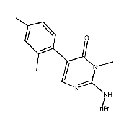 CCCNc1ncc(-c2ccc(C)cc2C)c(=O)n1C